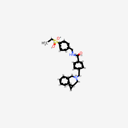 CCS(=O)(=O)c1ccc(CNC(=O)c2ccc(CN(Cc3ccccc3)CC3CC3)cc2)cc1